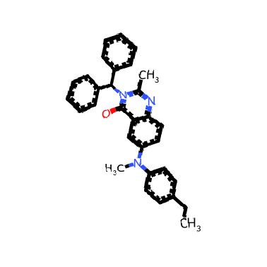 CCc1ccc(N(C)c2ccc3nc(C)n(C(c4ccccc4)c4ccccc4)c(=O)c3c2)cc1